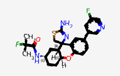 CC(C)(F)C(=O)N[C@H]1CC[C@@H]2Oc3ccc(-c4cncc(F)c4)cc3C3(CSC(N)=N3)[C@H]2C1